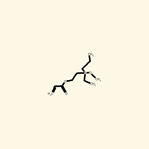 C=CC(=O)OCC[Si](CC)(CCC)OC